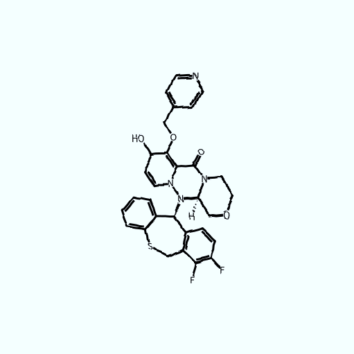 O=C1C2=C(OCc3ccncc3)C(O)C=CN2N([C@@H]2c3ccccc3SCc3c2ccc(F)c3F)[C@@H]2COCCN12